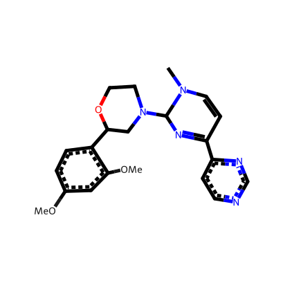 COc1ccc(C2CN(C3N=C(c4ccncn4)C=CN3C)CCO2)c(OC)c1